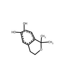 CC1(C)OCCc2cc(O)c(O)cc21